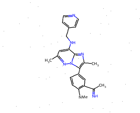 CNc1ccc(-c2c(C)nc3c(NCc4ccncc4)cc(C)nn23)cc1C(C)=N